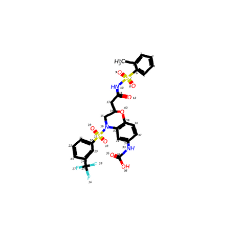 Cc1ccccc1S(=O)(=O)NC(=O)CC1CN(S(=O)(=O)c2cccc(C(F)(F)F)c2)c2cc(NC(=O)O)ccc2O1